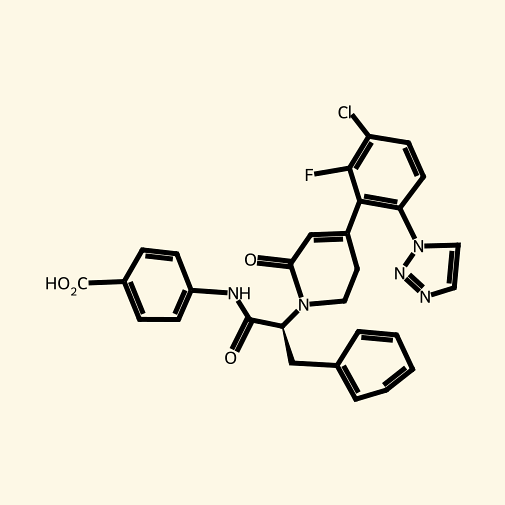 O=C(O)c1ccc(NC(=O)[C@H](Cc2ccccc2)N2CCC(c3c(-n4ccnn4)ccc(Cl)c3F)=CC2=O)cc1